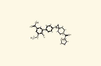 COc1cc(C(=O)O)cc(-c2ccc([C@H]3CC34CCN(C(=O)[C@H]3CCCO3)CC4)cc2)c1F